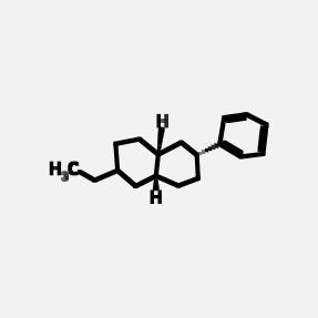 CCC1CC[C@@H]2C[C@H](c3ccccc3)CC[C@@H]2C1